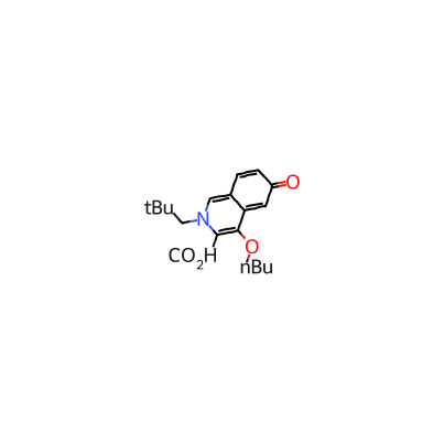 CCCCOc1c2cc(=O)ccc-2cn(CC(C)(C)C)c1C(=O)O